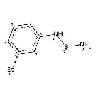 CCc1cccc(NSN)c1